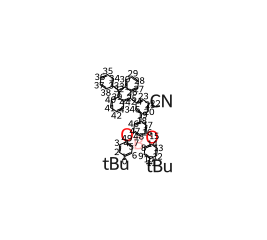 CC(C)(C)c1ccc2c(c1)B1c3cc(C(C)(C)C)ccc3Oc3cc(-c4cc(C#N)cc(-c5c6ccccc6c(-c6ccccc6)c6ccccc56)c4)cc(c31)O2